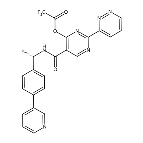 C[C@H](NC(=O)c1cnc(-c2cccnn2)nc1OC(=O)C(F)(F)F)c1ccc(-c2cccnc2)cc1